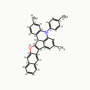 Cc1cc2c3c(c1)N(c1ccc(C(C)(C)C)cc1)c1cc(C(C)(C)C)ccc1B3c1oc3cc4ccccc4cc3c1-2